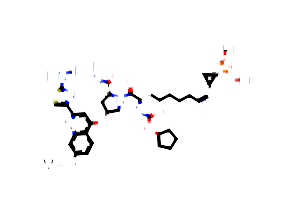 CCOP(=O)(OCC)[C@H]1C[C@H]1/C=C\CCCCC[C@H](NC(=O)OC1CCCC1)C(=O)N1C[C@H](Oc2cc(-c3csc(NC(C)C)n3)nc3cc(OC)ccc23)C[C@H]1C(N)=O